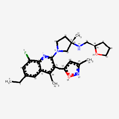 CCc1cc(F)c2nc(N3CC[C@](C)(NC[C@H]4CCCO4)C3)c(-c3cc(C)no3)c(C)c2c1